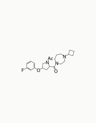 CC(=O)N1CC(Oc2cccc(F)c2)CC1C(=O)N1CCCN(C2CCC2)CC1